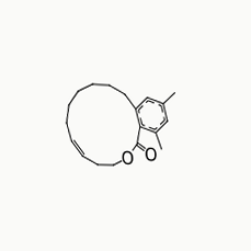 Cc1cc(C)c2c(c1)CCCCCC/C=C\CCOC2=O